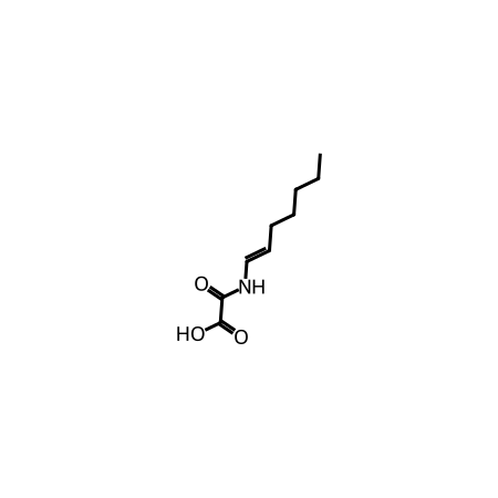 CCCCCC=CNC(=O)C(=O)O